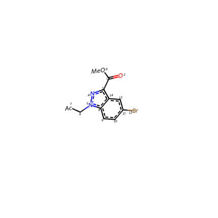 COC(=O)c1nn(CC(C)=O)c2ccc(Br)cc12